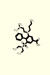 CCCCN(CCN(C)C)c1cc(C(=O)O)cc(S(=O)(=O)N(CC)CC)c1-c1ccccc1